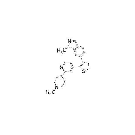 CN1CCN(c2cc(C3=C(c4ccc5cnn(C)c5c4)CCS3)ccn2)CC1